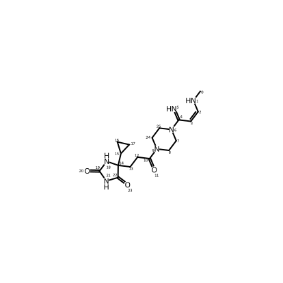 CN/C=C\C(=N)N1CCN(C(=O)CCC2(C3CC3)NC(=O)NC2=O)CC1